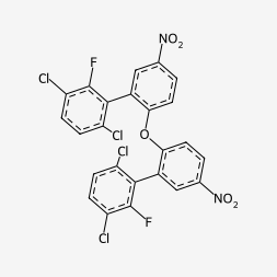 O=[N+]([O-])c1ccc(Oc2ccc([N+](=O)[O-])cc2-c2c(Cl)ccc(Cl)c2F)c(-c2c(Cl)ccc(Cl)c2F)c1